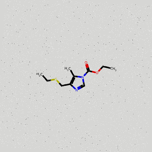 [CH2]CSCc1ncn(C(=O)OCC)c1C